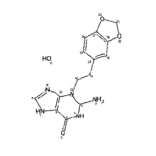 Cl.NC1NC(=O)c2[nH]cnc2N1CCc1ccc2c(c1)OCO2